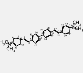 CN(C)c1ccc(/C=C/c2ccc(-c3ccc(/C=C/c4ccc(N(C)C)cc4)cc3)cc2)cc1